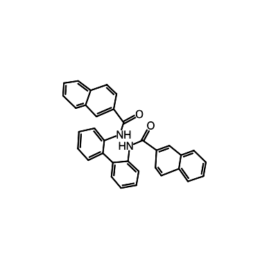 O=C(Nc1ccccc1-c1ccccc1NC(=O)c1ccc2ccccc2c1)c1ccc2ccccc2c1